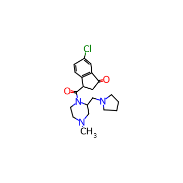 CN1CCN(C(=O)C2CC(=O)c3cc(Cl)ccc32)C(CN2CCCC2)C1